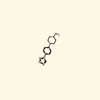 NC1CCN(c2ccc(-n3cnnn3)cc2)CC1